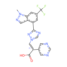 Cn1ncc2c(-c3ncn(/C=C(/C(=O)O)c4cncnc4)n3)cc(C(F)(F)F)cc21